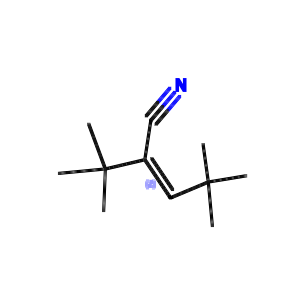 CC(C)(C)/C=C(\C#N)C(C)(C)C